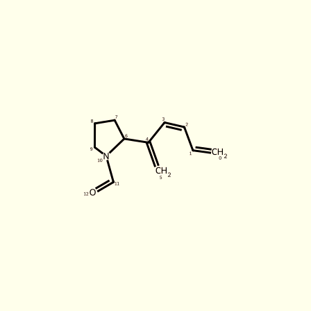 C=C/C=C\C(=C)C1CCCN1C=O